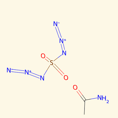 CC(N)=O.[N-]=[N+]=NS(=O)(=O)N=[N+]=[N-]